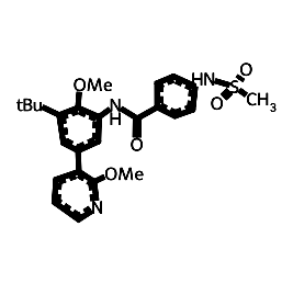 COc1ncccc1-c1cc(NC(=O)c2ccc(NS(C)(=O)=O)cc2)c(OC)c(C(C)(C)C)c1